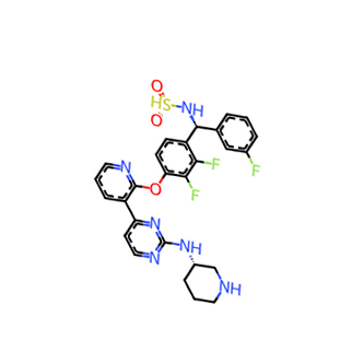 O=[SH](=O)N[C@@H](c1cccc(F)c1)c1ccc(Oc2ncccc2-c2ccnc(N[C@H]3CCCNC3)n2)c(F)c1F